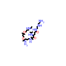 CCNCCCOC(C)(C)CCOC(C)(N)CCCNC(C)(C)C(=O)C(CCC(=O)NCCNCCN)NC(C)C